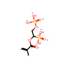 C=C(C)C(=O)OC(COP(=O)(O)O)P(=O)(O)O